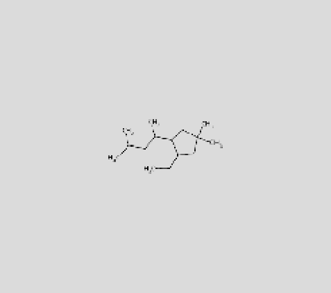 CCC1CC(C)(C)CC1C(C)CC(C)C